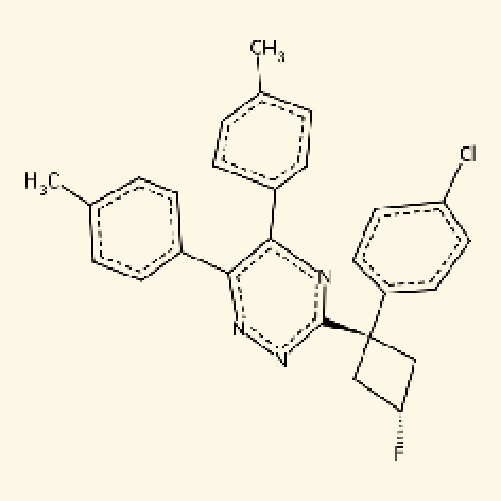 Cc1ccc(-c2nnc([C@]3(c4ccc(Cl)cc4)C[C@@H](F)C3)nc2-c2ccc(C)cc2)cc1